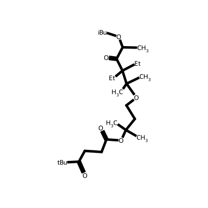 CCC(C)OC(C)C(=O)C(CC)(CC)C(C)(C)OCCC(C)(C)OC(=O)CCC(=O)C(C)(C)C